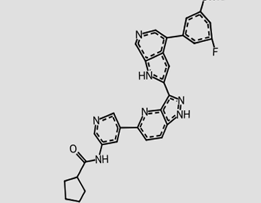 COc1cc(F)cc(-c2cncc3[nH]c(-c4n[nH]c5ccc(-c6cncc(NC(=O)C7CCCC7)c6)nc45)cc23)c1